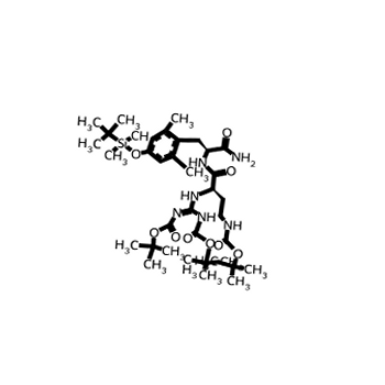 Cc1cc(O[Si](C)(C)C(C)(C)C)cc(C)c1C[C@H](NC(=O)[C@@H](CCNC(=O)OC(C)(C)C)N/C(=N/C(=O)OC(C)(C)C)NC(=O)OC(C)(C)C)C(N)=O